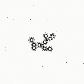 C1=CC2c3c(ccc4ccccc34)N(c3ccc(N(c4ccc(-c5cc(-c6ccccc6)cc6ccccc56)cc4)c4cccc(-c5ccccc5)c4)cc3)C2C=C1